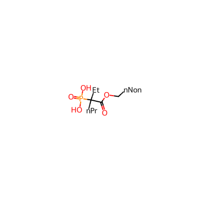 CCCCCCCCCCOC(=O)C(CC)(CCC)P(=O)(O)O